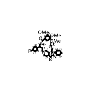 CCOCCn1c(C(=O)C2CCN(CCC(CN(C)C(=O)c3cc(OC)c(OC)c(OC)c3)c3ccc(F)cc3)CC2)nc2ccccc21